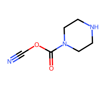 N#COC(=O)N1CCNCC1